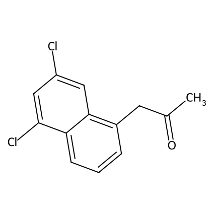 CC(=O)Cc1cccc2c(Cl)cc(Cl)cc12